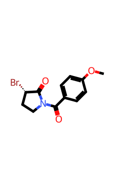 COc1ccc(C(=O)N2CC[C@H](Br)C2=O)cc1